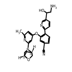 Cc1cc(Oc2cc(C#N)ccc2-c2ccc(C(O)CN)cn2)cc(N2C[C@@H]3C[C@H]2CO3)n1